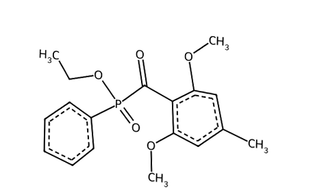 CCOP(=O)(C(=O)c1c(OC)cc(C)cc1OC)c1ccccc1